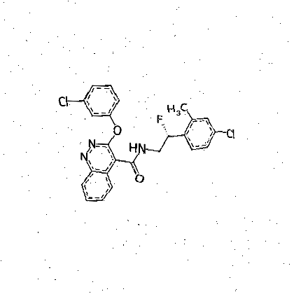 Cc1cc(Cl)ccc1[C@@H](F)CNC(=O)c1c(Oc2cccc(Cl)c2)nnc2ccccc12